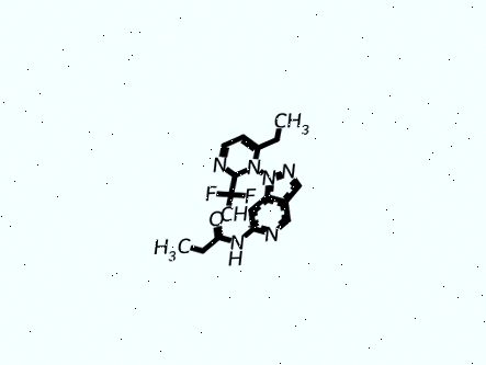 CCC(=O)Nc1cc2c(cn1)cnn2N1C(CC)=CC=NC1C(C)(F)F